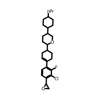 CCCC1CCC(C2CCC(C3CC=C(c4ccc(C5CO5)c(Cl)c4F)CC3)OC2)CC1